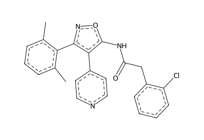 Cc1cccc(C)c1-c1noc(NC(=O)Cc2ccccc2Cl)c1-c1ccncc1